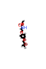 CCOC(=O)NCCOc1ccc(OCC2OC2(C)C)cc1